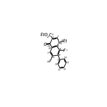 CCOC(=O)c1cn(CC)c2c(F)c(-c3ccccc3)c(F)cc2c1=O